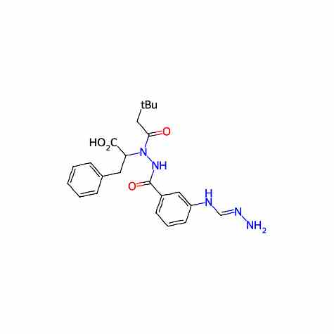 CC(C)(C)CC(=O)N(NC(=O)c1cccc(NC=NN)c1)C(Cc1ccccc1)C(=O)O